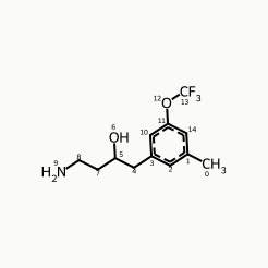 Cc1cc(CC(O)CCN)cc(OC(F)(F)F)c1